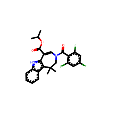 CC(C)OC(=O)C1=CN(C(=O)c2c(F)cc(F)cc2F)CC(C)(C)c2c1[nH]c1ccccc21